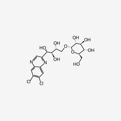 OC[C@H]1O[C@H](OC[C@@H](O)[C@@H](O)[C@H](O)c2cnc3cc(Cl)c(Cl)cc3n2)[C@H](O)[C@@H](O)[C@@H]1O